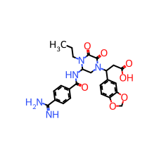 CCCN1C(=O)C(=O)N(C(CC(=O)O)c2ccc3c(c2)OCO3)CC1NC(=O)c1ccc(C(=N)N)cc1